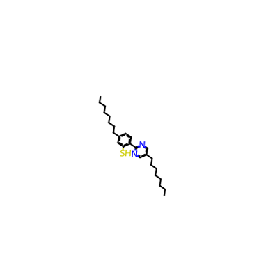 CCCCCCCCc1cnc(-c2ccc(CCCCCCCC)cc2S)nc1